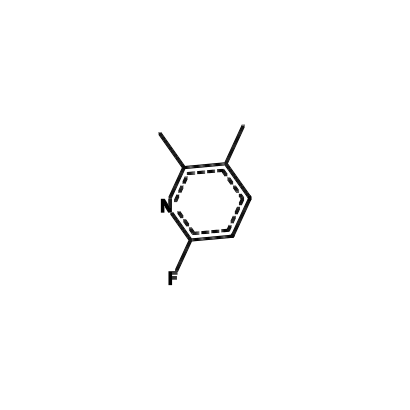 Cc1ccc(F)nc1C